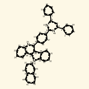 c1ccc(-c2cc(-c3ccccc3)nc(-c3ccc(-c4nc5ccccc5c5c4c4ccccc4n5-c4ccc5ccccc5c4)cc3)n2)cc1